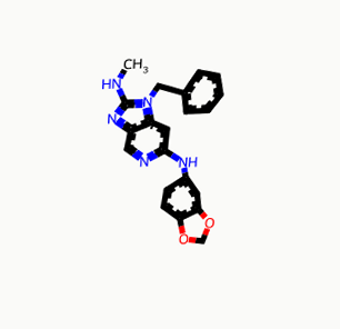 CNc1nc2cnc(Nc3ccc4c(c3)OCO4)cc2n1Cc1ccccc1